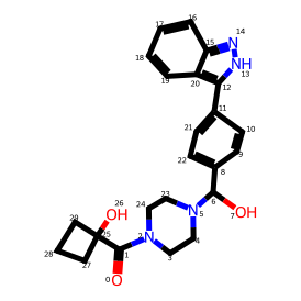 O=C(N1CCN(C(O)c2ccc(-c3[nH]nc4ccccc34)cc2)CC1)C1(O)CCC1